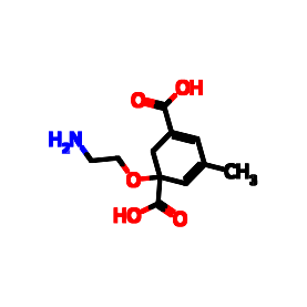 CC1=CC(OCCN)(C(=O)O)CC(C(=O)O)=C1